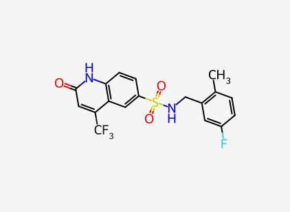 Cc1ccc(F)cc1CNS(=O)(=O)c1ccc2[nH]c(=O)cc(C(F)(F)F)c2c1